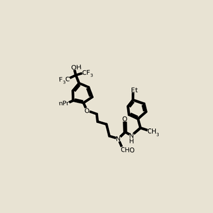 CCCc1cc(C(O)(C(F)(F)F)C(F)(F)F)ccc1OCCCCN(C=O)C(=O)NC(C)c1ccc(CC)cc1